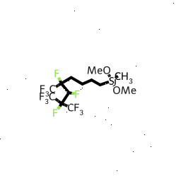 CO[Si](C)(CCCCC(F)(C(F)C(F)(C(F)(F)F)C(F)(F)F)C(F)(F)F)OC